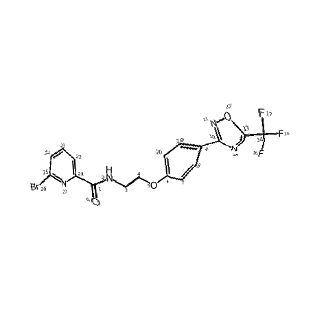 O=C(NCCOc1ccc(-c2noc(C(F)(F)F)n2)cc1)c1cccc(Br)n1